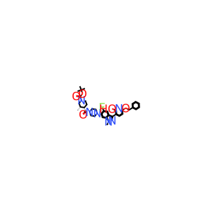 C[C@@H]1CN(C(=O)OC(C)(C)C)CC[C@@H]1C(=O)N1CCN(c2cc3c(cc2F)c(-c2ccc(OCc4ccccc4)nc2O)nn3C)CC1